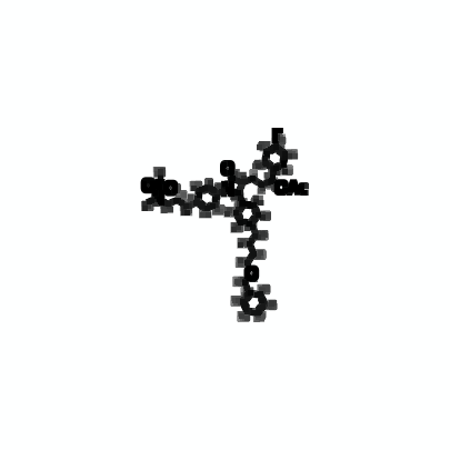 CC(=O)O[C@@H](CCC1C(=O)N(c2ccc(CCCN(C)S(C)(=O)=O)cc2)[C@@H]1c1ccc(CCCCOCc2ccccc2)cc1)c1ccc(F)cc1